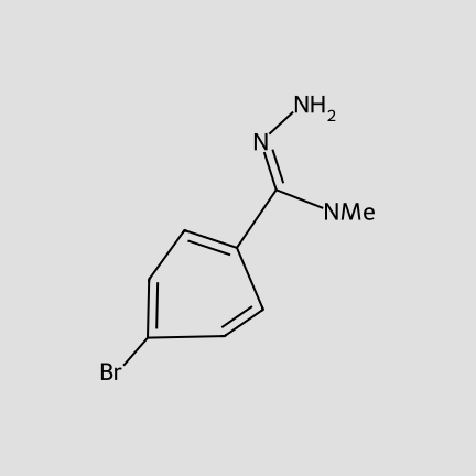 CN/C(=N\N)c1ccc(Br)cc1